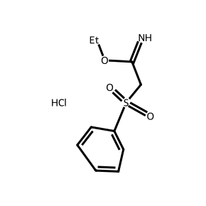 CCOC(=N)CS(=O)(=O)c1ccccc1.Cl